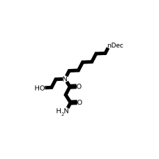 CCCCCCCCCCCCCCCCN(CCO)C(=O)CC(N)=O